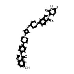 O=C1CCC(N2Cc3cc(N4CCC(O[C@H]5C[C@H](N6CCC(c7ccc(-n8cnc9ccc(O)cc9c8=O)cc7)CC6)C5)CC4)ccc3C2=O)C(=O)N1